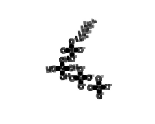 O[Si](O)(O)O.[Lu+3].[Lu+3].[Lu+3].[Lu+3].[O-][Si]([O-])([O-])[O-].[O-][Si]([O-])([O-])[O-].[O-][Si]([O-])([O-])[O-]